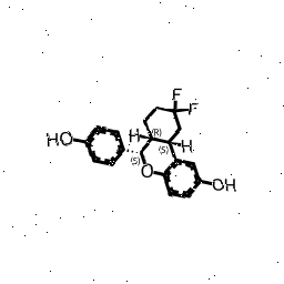 Oc1ccc([C@H]2Oc3ccc(O)cc3[C@H]3CC(F)(F)CC[C@H]32)cc1